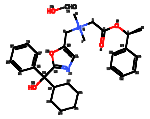 C[C@H](OC(=O)C[N+](C)(C)Cc1cnc(C(O)(c2ccccc2)C2CCCCC2)o1)c1ccccc1.O=CO